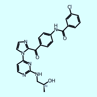 C[C@H](O)CNc1nccc(-n2ccnc2C(=O)c2ccc(NC(=O)c3cccc(Cl)c3)cc2)n1